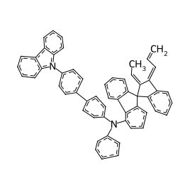 C=C/C=C1\C(=C/C)C2(c3ccccc31)c1ccccc1-c1c(N(c3ccccc3)c3ccc(-c4ccc(-n5c6ccccc6c6ccccc65)cc4)cc3)cccc12